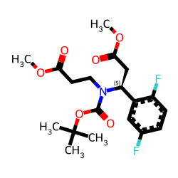 COC(=O)CCN(C(=O)OC(C)(C)C)[C@@H](CC(=O)OC)c1cc(F)ccc1F